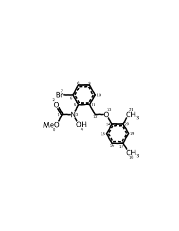 COC(=O)N(O)c1c(Br)cccc1COc1ccc(C)cc1C